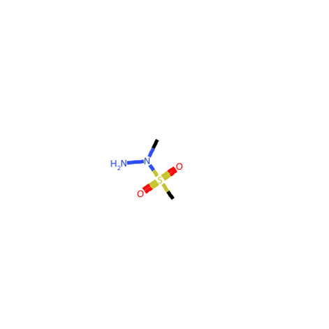 CN(N)S(C)(=O)=O